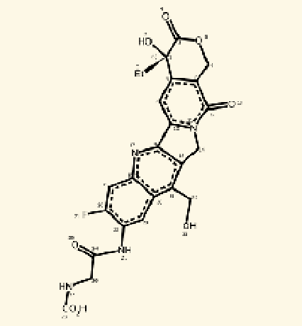 CC[C@@]1(O)C(=O)OCc2c1cc1n(c2=O)Cc2c-1nc1cc(F)c(NC(=O)CNC(=O)O)cc1c2CO